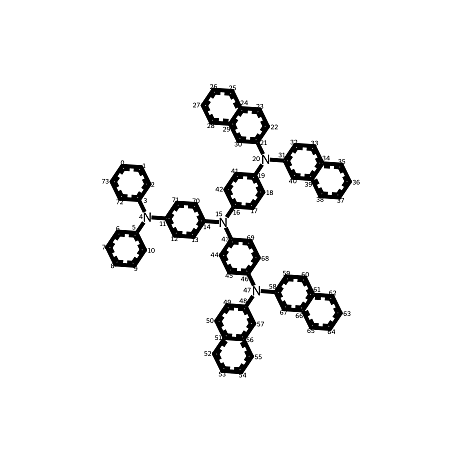 c1ccc(N(c2ccccc2)c2ccc(N(c3ccc(N(c4ccc5ccccc5c4)c4ccc5ccccc5c4)cc3)c3ccc(N(c4ccc5ccccc5c4)c4ccc5ccccc5c4)cc3)cc2)cc1